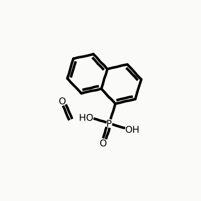 C=O.O=P(O)(O)c1cccc2ccccc12